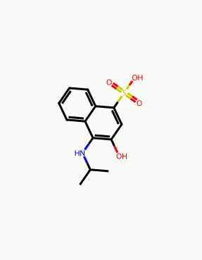 CC(C)Nc1c(O)cc(S(=O)(=O)O)c2ccccc12